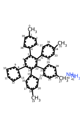 Cc1ccc(-c2cc(-c3ccccc3)c(-c3ccc(C)cc3)c(-c3ccc(C)cc3)c2-c2ccc(C)cc2)cc1.N.N